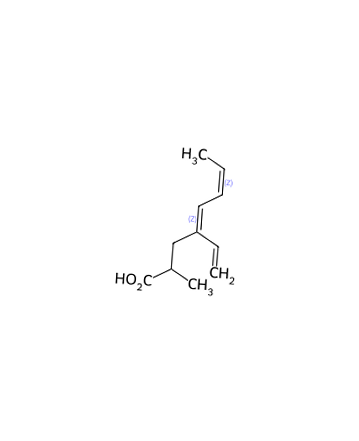 C=C/C(=C\C=C/C)CC(C)C(=O)O